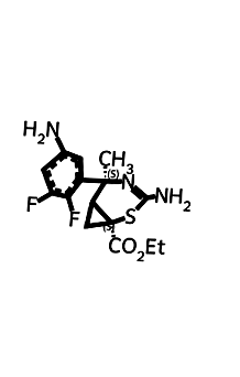 CCOC(=O)[C@]12CC1[C@@](C)(c1cc(N)cc(F)c1F)N=C(N)S2